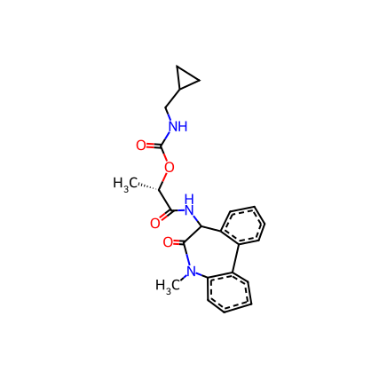 C[C@H](OC(=O)NCC1CC1)C(=O)NC1C(=O)N(C)c2ccccc2-c2ccccc21